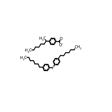 CCCCCCC(C)c1ccc(C(=O)[O-])cc1.CCCCCCCc1ccc([I+]c2ccc(CCCCCCC)cc2)cc1